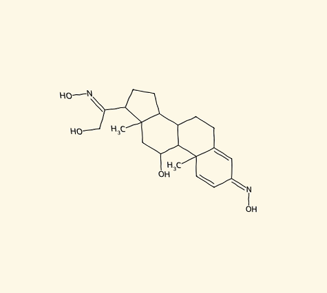 CC12C=C/C(=N\O)C=C1CCC1C2C(O)CC2(C)C(/C(CO)=N/O)CCC12